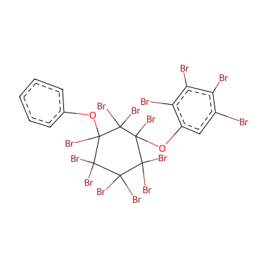 Brc1cc(OC2(Br)C(Br)(Br)C(Br)(Br)C(Br)(Br)C(Br)(Oc3ccccc3)C2(Br)Br)c(Br)c(Br)c1Br